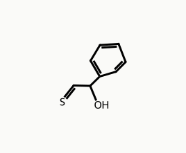 OC(C=S)c1ccccc1